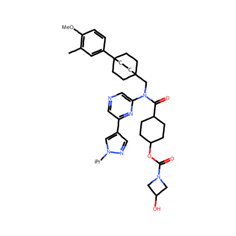 COc1ccc(C23CCC(CN(C(=O)C4CCC(OC(=O)N5CC(O)C5)CC4)c4cncc(-c5cnn(C(C)C)c5)n4)(CC2)CC3)cc1C